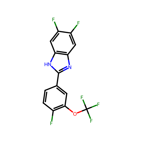 Fc1cc2nc(-c3ccc(F)c(OC(F)(F)F)c3)[nH]c2cc1F